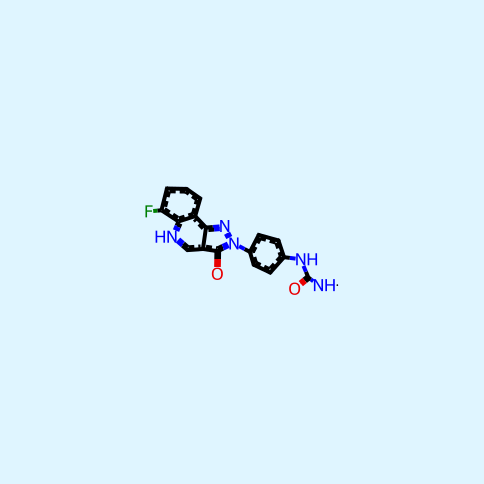 [NH]C(=O)Nc1ccc(-n2nc3c4cccc(F)c4[nH]cc-3c2=O)cc1